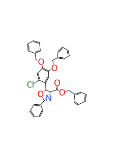 O=C(OCc1ccccc1)C1N=C(c2ccccc2)OC1c1cc(OCc2ccccc2)c(OCc2ccccc2)cc1Cl